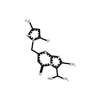 Cc1sc2nc(Cn3nc(C(F)(F)F)cc3Cl)cc(=O)n2c1C(C)O